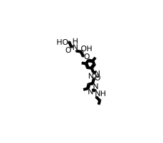 CCCNc1nc(C)cc(-c2nc(-c3cc(C)c(OC[C@@H](O)CNC(=O)CO)c(C)c3)no2)n1